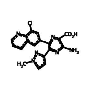 Cn1ccc(-c2nc(N)c(C(=O)O)nc2-c2cc(Cl)c3ncccc3c2)n1